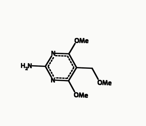 COCc1c(OC)nc(N)nc1OC